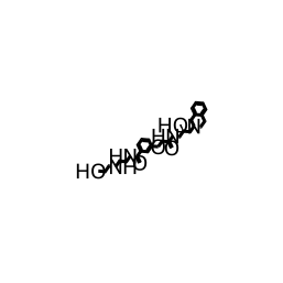 O=C(COc1cccc(C(=O)NCCNCCO)c1)NC[C@@H](O)CN1CCc2ccccc2C1